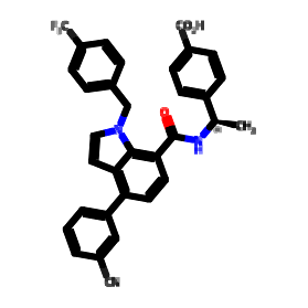 C[C@@H](NC(=O)c1ccc(-c2cccc(C#N)c2)c2ccn(Cc3ccc(C(F)(F)F)cc3)c12)c1ccc(C(=O)O)cc1